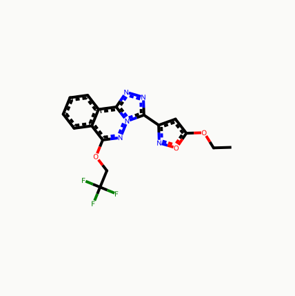 CCOc1cc(-c2nnc3c4ccccc4c(OCC(F)(F)F)nn23)no1